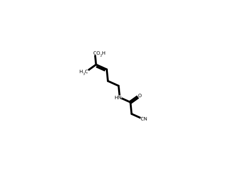 CC(=CCCNC(=O)CC#N)C(=O)O